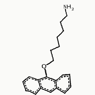 NCCCCCCCOc1c2ccccc2cc2ccccc12